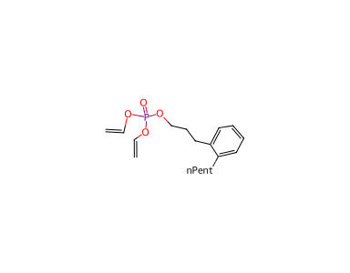 C=COP(=O)(OC=C)OCCCc1ccccc1CCCCC